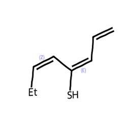 C=C/C=C(S)\C=C/CC